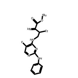 CCC(CNc1nc(Nc2ccccc2)ncc1F)C(=N)C(=O)OC(C)(C)C